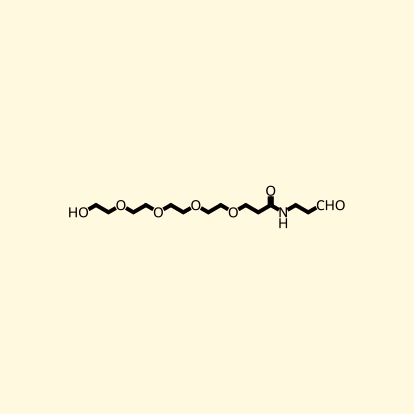 O=CCCNC(=O)CCOCCOCCOCCOCCO